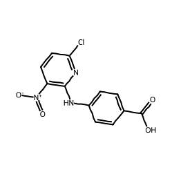 O=C(O)c1ccc(Nc2nc(Cl)ccc2[N+](=O)[O-])cc1